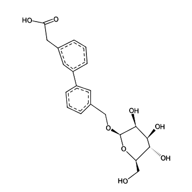 O=C(O)Cc1cccc(-c2cccc(CO[C@@H]3O[C@H](CO)[C@@H](O)[C@H](O)[C@@H]3O)c2)c1